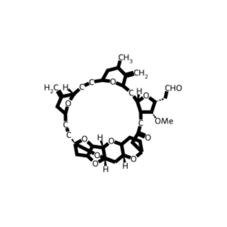 C=C1C(C)CC2CC[C@@H]3OC(CC[C@@]45CC6O[C@H]7C(O4)[C@H]4OC(CCC4O[C@H]7C6O5)CC(=O)CC4[C@H](CC1O2)O[C@H](CC=O)[C@@H]4OC)CC3=C